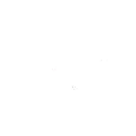 C=C(C)C(=O)Oc1ccc(C=O)cc1OC